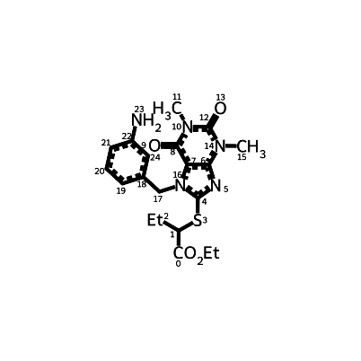 CCOC(=O)C(CC)Sc1nc2c(c(=O)n(C)c(=O)n2C)n1Cc1cccc(N)c1